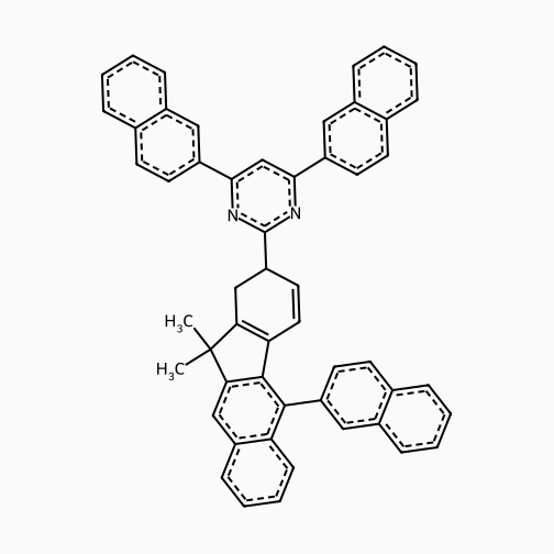 CC1(C)C2=C(C=CC(c3nc(-c4ccc5ccccc5c4)cc(-c4ccc5ccccc5c4)n3)C2)c2c1cc1ccccc1c2-c1ccc2ccccc2c1